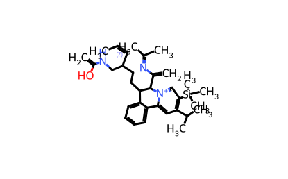 C=C(O)NCC(/C=C\C)CCC1c2ccccc2-c2cc(C(C)C)c([Si](C)(C)C)c[n+]2C1C(=C)N=C(C)C